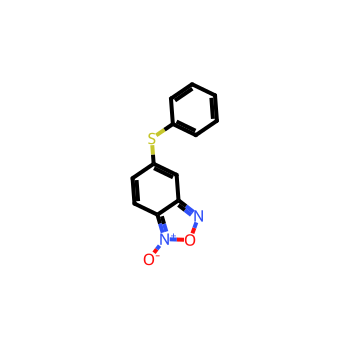 [O-][n+]1onc2cc(Sc3ccccc3)ccc21